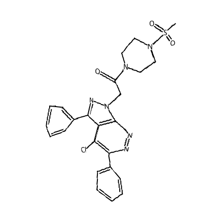 CS(=O)(=O)N1CCN(C(=O)Cn2nc(-c3ccccc3)c3c(Cl)c(-c4ccccc4)nnc32)CC1